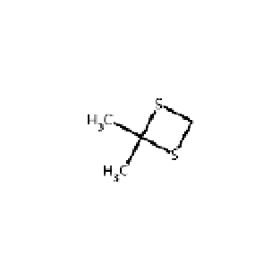 CC1(C)SCS1